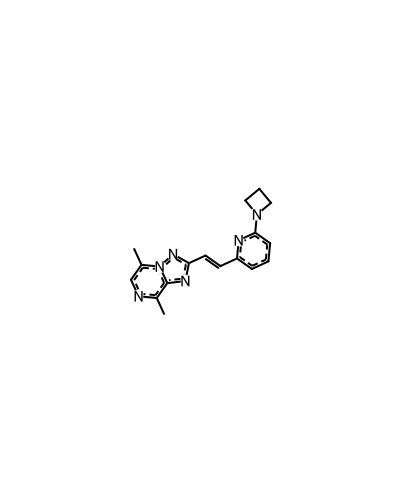 Cc1ncc(C)n2nc(C=Cc3cccc(N4CCC4)n3)nc12